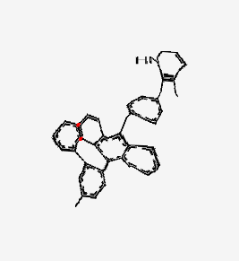 CC1=C(c2ccc(-c3c4c(c(-c5ccc(C)cc5-c5ccccc5)c5ccccc35)C=C=C=C4)cc2)NCC=C1